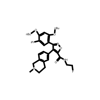 CCCCOc1cc(OCCCC)c(C(C)C)cc1-c1noc(C(=O)NCCF)c1-c1ccc2c(c1)CCN(C)C2